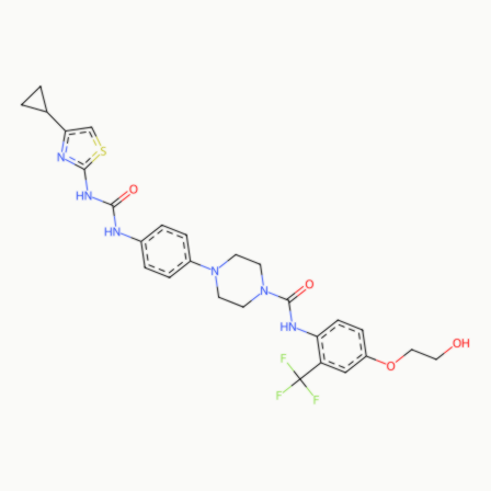 O=C(Nc1ccc(N2CCN(C(=O)Nc3ccc(OCCO)cc3C(F)(F)F)CC2)cc1)Nc1nc(C2CC2)cs1